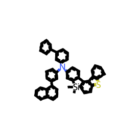 C[Si]1(C)c2cc(N(c3cccc(-c4ccccc4)c3)c3cccc(-c4cccc5ccccc45)c3)ccc2-c2c1ccc1sc3ccccc3c21